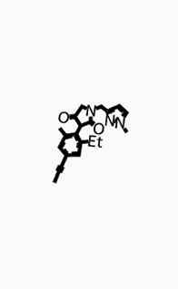 CC#Cc1cc(C)c(C2C(=O)CN(Cc3ccn(C)n3)C2=O)c(CC)c1